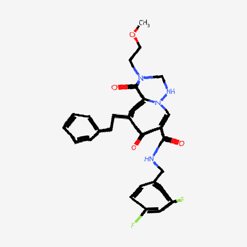 COCCN1CNn2cc(C(=O)NCc3ccc(F)cc3F)c(=O)c(CCc3ccccc3)c2C1=O